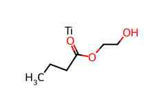 CCCC(=O)OCCO.[Ti]